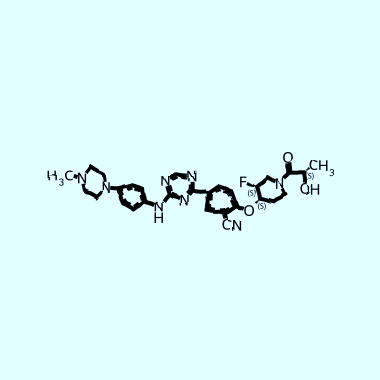 C[C@H](O)C(=O)N1CC[C@H](Oc2ccc(-c3ncnc(Nc4ccc(N5CCN(C)CC5)cc4)n3)cc2C#N)[C@@H](F)C1